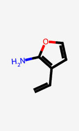 C=Cc1ccoc1N